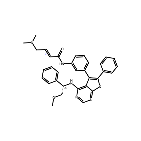 COC[C@@H](Nc1ncnc2sc(-c3ccccc3)c(-c3cccc(NC(=O)/C=C/CN(C)C)c3)c12)c1ccccc1